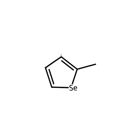 Cc1[c]cc[se]1